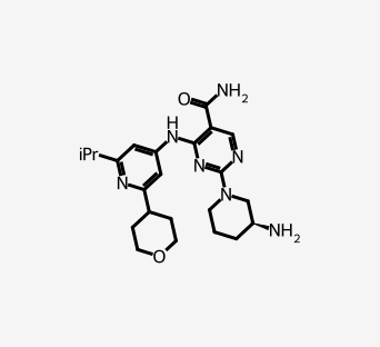 CC(C)c1cc(Nc2nc(N3CCC[C@H](N)C3)ncc2C(N)=O)cc(C2CCOCC2)n1